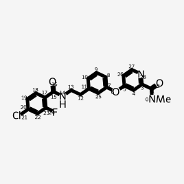 CNC(=O)c1cc(Oc2cccc(CCNC(=O)c3ccc(Cl)cc3F)c2)ccn1